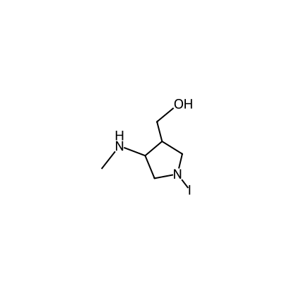 CNC1CN(I)CC1CO